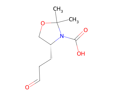 CC1(C)OC[C@@H](CCC=O)N1C(=O)O